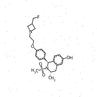 C[C@H]1Cc2cc(O)ccc2[C@H](c2ccc(OCCN3CC(CF)C3)cc2)N1S(C)(=O)=O